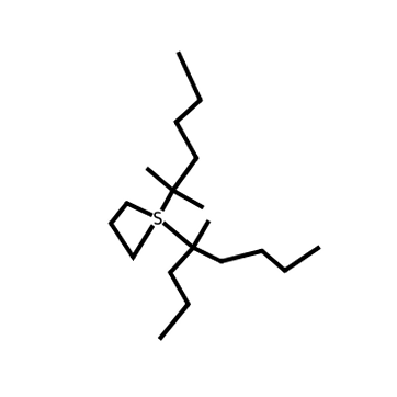 CCCCC(C)(C)S1(C(C)(CCC)CCCC)CCC1